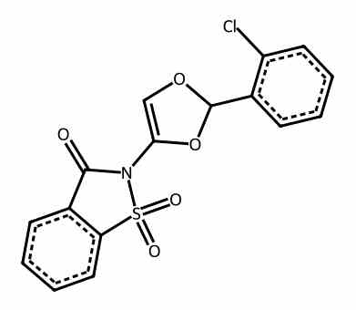 O=C1c2ccccc2S(=O)(=O)N1C1=COC(c2ccccc2Cl)O1